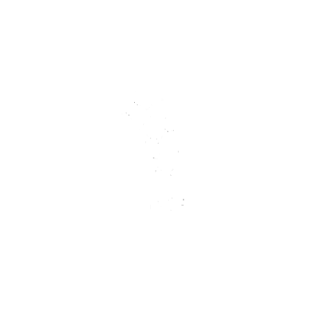 Cn1ncc2cc(-c3ccc(CCP(=O)(O)O)cc3)ncc2c1=O